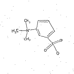 C[N+](C)(C)c1cccc(S([O])(=O)=O)c1